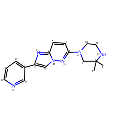 CC1(C)CN(c2ccc3nc(-c4cccnc4)cn3n2)CCN1